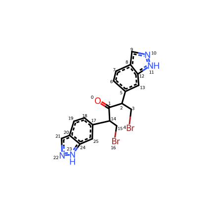 O=C(C(CBr)c1ccc2cn[nH]c2c1)C(CBr)c1ccc2cn[nH]c2c1